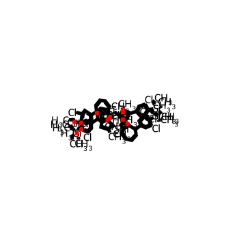 CC[Si](CC)(CC)c1c(Cl)cc(C2C=CC=CC3=C2C=C(C)[C]32[SiH](C)[C]3(C(C)=CC4=C3C=CC=CC4c3cc(Cl)c([Si](CC)(CC)CC)c(Cl)c3)[Hf]23([Cl])([Cl])[C]2(C(C)=CC4=C2C=CC=CC4c2cc(Cl)c([Si](CC)(CC)CC)c(Cl)c2)[SiH](C)[C]32C(C)=CC3=C2C=CC=CC3c2cc(Cl)c([Si](CC)(CC)CC)c(Cl)c2)cc1Cl